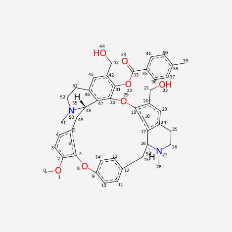 COc1ccc2cc1Oc1ccc(cc1)C[C@H]1c3cc(c(CO)cc3CCN1C)Oc1c(OC(=O)c3ccc(C)cc3)c(CO)cc3c1[C@H](C2)N(C)CC3